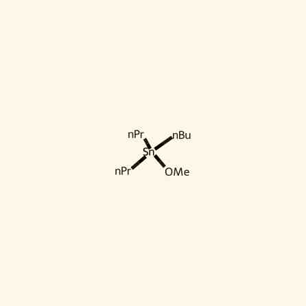 CCC[CH2][Sn]([CH2]CC)([CH2]CC)[O]C